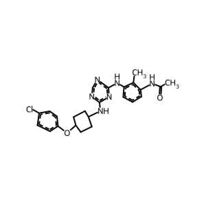 CC(=O)Nc1cccc(Nc2ncnc(NC3CCC(Oc4ccc(Cl)cc4)CC3)n2)c1C